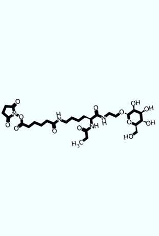 CCC(=O)N[C@@H](CCCCNC(=O)CCCCC(=O)ON1C(=O)CCC1=O)C(=O)NCCO[C@H]1O[C@H](CO)[C@@H](O)[C@H](O)[C@@H]1O